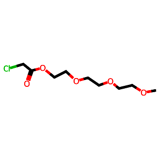 COCCOCCOCCOC(=O)CCl